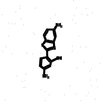 Nc1ccc(-c2nc3cc(N)ccc3s2)c(O)c1